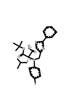 CC(C)C[C@@](C(N)=O)(C(=O)OC(C)(C)C)N(Cc1csc(-c2ccccc2)n1)c1ccc(F)cc1